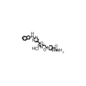 Cl.NNC(=O)C1=CCN(C(=O)Cc2nnc(-c3cnc(NC4Cc5ccccc5C4)nc3)o2)CC1